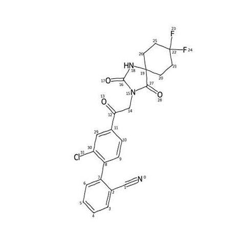 N#Cc1ccccc1-c1ccc(C(=O)CN2C(=O)NC3(CCC(F)(F)CC3)C2=O)cc1Cl